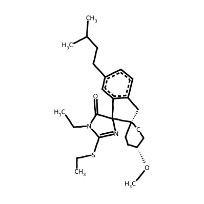 CCSC1=NC2(C(=O)N1CC)c1cc(CCC(C)C)ccc1C[C@]21CC[C@@H](OC)CC1